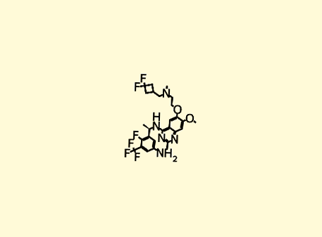 COc1cc2nc(C)nc(N[C@H](C)c3cc(N)cc(C(F)(F)F)c3F)c2cc1OCCN(C)CC1CC(F)(F)C1